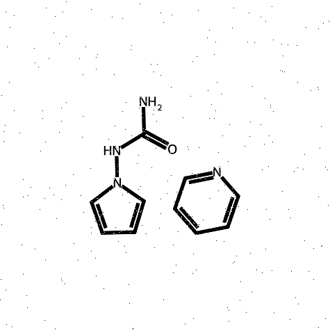 NC(=O)Nn1cccc1.c1ccncc1